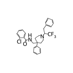 O=C(NCC1(c2ccccc2)CCN(C(Cc2ccccc2)C(F)(F)F)CC1)c1ccccc1Cl